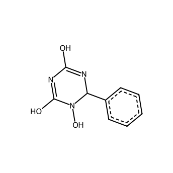 OC1=NC(c2ccccc2)N(O)C(O)=N1